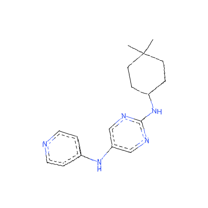 CC1(C)CCC(Nc2ncc(Nc3ccncc3)cn2)CC1